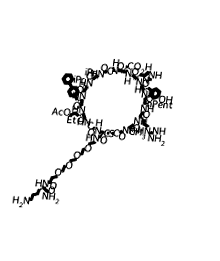 CCCCC[C@@H]1NC(=O)[C@H](CCCNC(=N)N)NC(=O)[C@H](C)NC(=O)CSC[C@@H](C(=O)NCCOCCOCCOCCOCCC(=O)N[C@@H](CCCCN)C(N)=O)NC(=O)CNC(=O)[C@H](CCC(CC)OC(C)=O)NC(=O)[C@H](Cc2ccc(-c3ccccc3)cc2)NC(=O)[C@H](CC(C)C)NC(=O)[C@H](C(C)C)NC(=O)CNC(=O)[C@H](CC(=O)O)NC(=O)[C@H](Cc2c[nH]cn2)NC(=O)[C@H](Cc2ccc(O)cc2)NC1=O